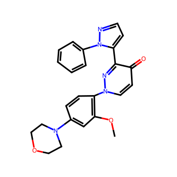 COc1cc(N2CCOCC2)ccc1-n1ccc(=O)c(-c2ccnn2-c2ccccc2)n1